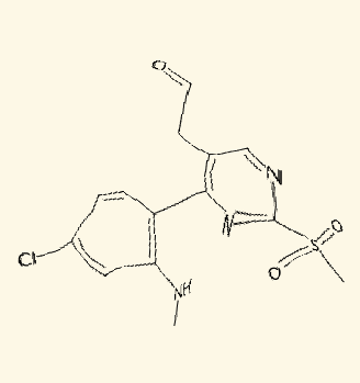 CNc1cc(Cl)ccc1-c1nc(S(C)(=O)=O)ncc1CC=O